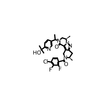 CC(c1ccc(C(C)(C)O)nc1)N1C[C@@H](C)n2nc3c(c2C1=O)CN(C(=O)c1ccc(Cl)c(F)c1F)[C@H](C)C3